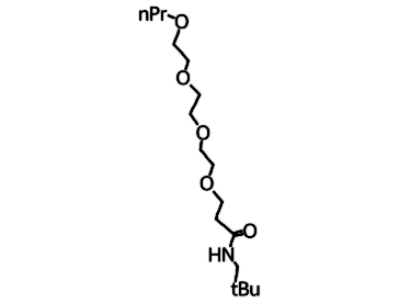 CCCOCCOCCOCCOCCC(=O)NCC(C)(C)C